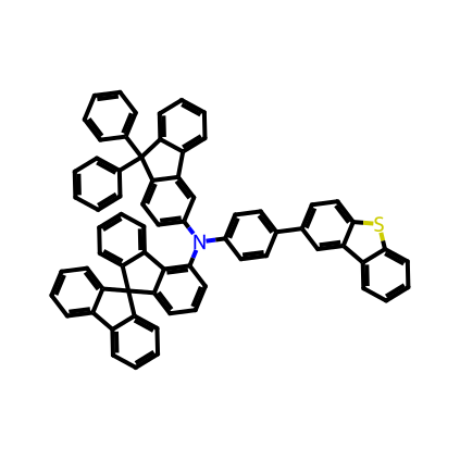 c1ccc(C2(c3ccccc3)c3ccccc3-c3cc(N(c4ccc(-c5ccc6sc7ccccc7c6c5)cc4)c4cccc5c4-c4ccccc4C54c5ccccc5-c5ccccc54)ccc32)cc1